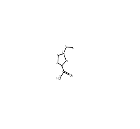 CCN1CCC(C(=O)O)C1